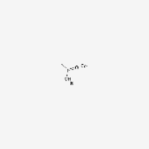 CC(=O)O.[Co].[Ni]